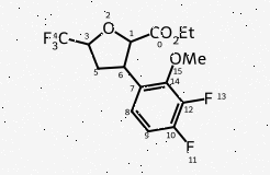 CCOC(=O)C1OC(C(F)(F)F)CC1c1ccc(F)c(F)c1OC